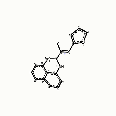 C/C(=C\c1ccco1)C1Nc2cccc3cccc(c23)N1